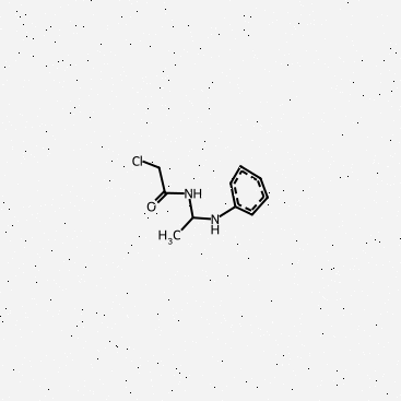 CC(NC(=O)CCl)Nc1ccccc1